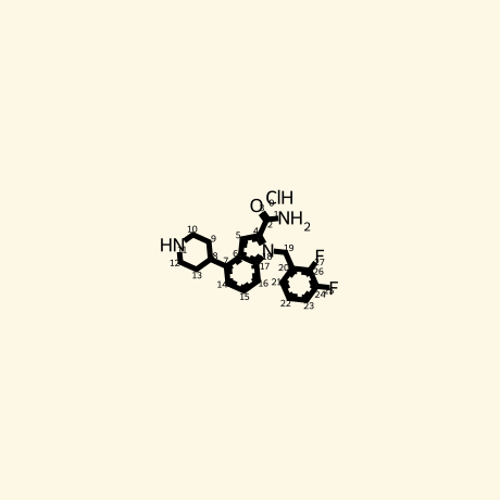 Cl.NC(=O)c1cc2c(C3CCNCC3)cccc2n1Cc1cccc(F)c1F